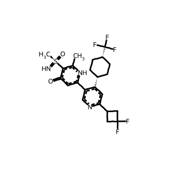 Cc1[nH]c(-c2cnc(C3CC(F)(F)C3)cc2[C@H]2CC[C@@H](C(F)(F)F)CC2)cc(=O)c1[S@](C)(=N)=O